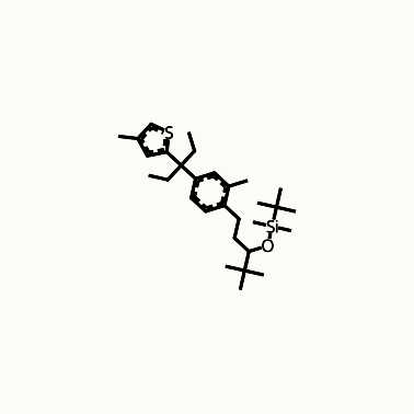 CCC(CC)(c1ccc(CCC(O[Si](C)(C)C(C)(C)C)C(C)(C)C)c(C)c1)c1cc(C)cs1